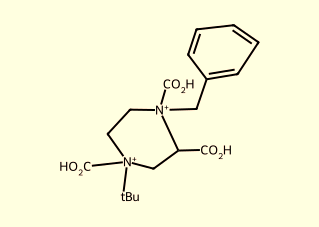 CC(C)(C)[N+]1(C(=O)O)CC[N+](Cc2ccccc2)(C(=O)O)C(C(=O)O)C1